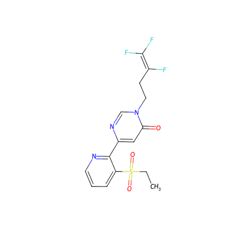 CCS(=O)(=O)c1cccnc1-c1cc(=O)n(CCC(F)=C(F)F)cn1